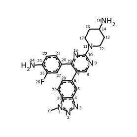 Cn1nnc2cc(-c3cnc(N4CCC(N)CC4)nc3-c3ccc(N)c(F)c3)ccc21